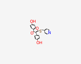 O=c1c(-c2ccc(O)cc2)c(SCc2ccncc2)oc2cc(O)ccc12